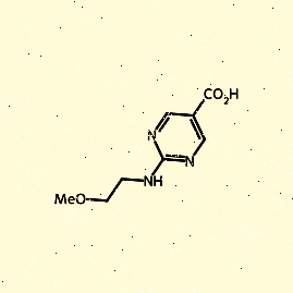 COCCNc1ncc(C(=O)O)cn1